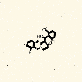 O=c1ccn(Cc2c(F)cccc2F)cc1C(O)c1c(Cl)cccc1Cl